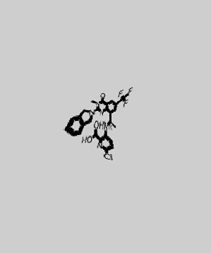 C[C@@H](Nc1ccc(Cl)nc1C(=O)O)c1cc(C(F)(F)F)cc2c(=O)n(C)c(N3Cc4ccccc4C3)nc12